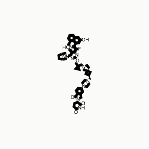 C#Cc1cccc2cc(O)cc(-c3ncc4c(N5CC6CCC(C5)N6)nc(OCC5(CN6CC[C@]7(C6)C[C@H](CN6CCN(c8ccc9c(c8)CN([C@H]8CCC(=O)NC8=O)C9=O)CC6)C7)CC5)nc4c3F)c12